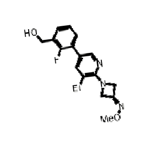 CCc1cc(-c2cccc(CO)c2F)cnc1N1CC(=NOC)C1